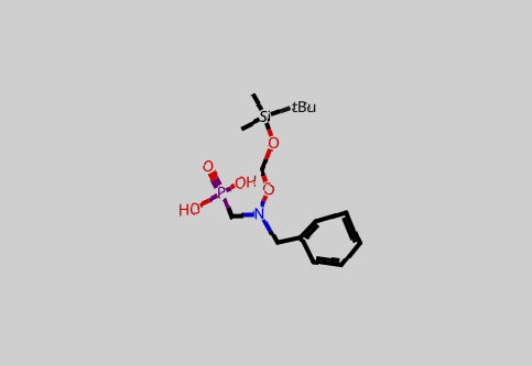 CC(C)(C)[Si](C)(C)OCON(Cc1ccccc1)CP(=O)(O)O